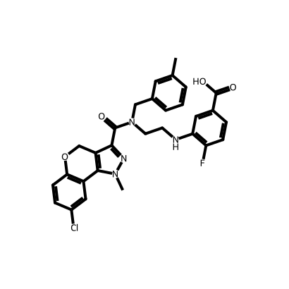 Cc1cccc(CN(CCNc2cc(C(=O)O)ccc2F)C(=O)c2nn(C)c3c2COc2ccc(Cl)cc2-3)c1